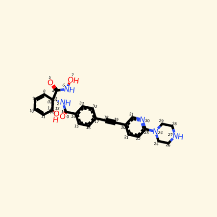 O=C(N[C@@]1(C(=O)NO)C=CC=C[C@H]1O)c1ccc(C#Cc2ccc(N3CCNCC3)nc2)cc1